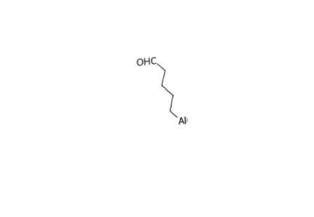 O=CCCC[CH2][Al]